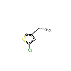 O=CCc1csc(Cl)c1